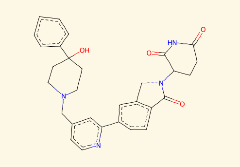 O=C1CCC(N2Cc3cc(-c4cc(CN5CCC(O)(c6ccccc6)CC5)ccn4)ccc3C2=O)C(=O)N1